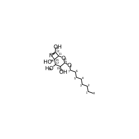 CCCCCCCCO[C@@H]1OC2C(O)=N[C@]2(O)C(O)C1O